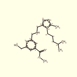 COC(=O)c1cc(CO)nc(CNCc2nnc(C)n2CCCC(C)C)c1